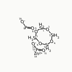 O1[SiH2]O[SiH2]O[SiH2]O[SiH2]1.O=P[O-].O=P[O-].[Zn+2]